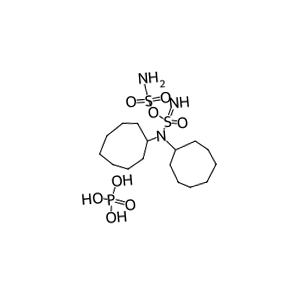 N=S(=O)(OS(N)(=O)=O)N(C1CCCCCCC1)C1CCCCCCC1.O=P(O)(O)O